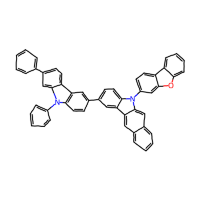 c1ccc(-c2ccc3c4cc(-c5ccc6c(c5)c5cc7ccccc7cc5n6-c5ccc6c(c5)oc5ccccc56)ccc4n(-c4ccccc4)c3c2)cc1